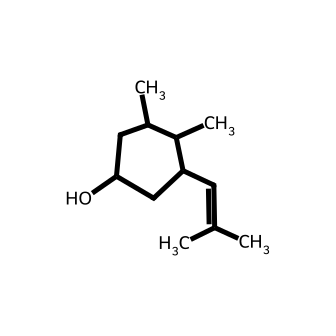 CC(C)=CC1CC(O)CC(C)C1C